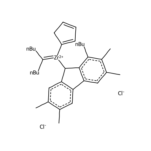 CCCC[C](CCCC)=[Zr+2]([C]1=CC=CC1)[CH]1c2cc(C)c(C)cc2-c2cc(C)c(C)c(CCCC)c21.[Cl-].[Cl-]